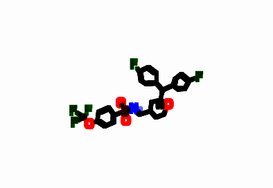 O=S(=O)(/N=C/C1CCO[C@H](C(c2ccc(F)cc2)c2ccc(F)cc2)C1)c1ccc(OC(F)(F)F)cc1